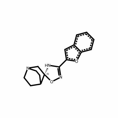 c1ccc2oc(C3=NO[C@@]4(CN5CCC4CC5)N3)cc2c1